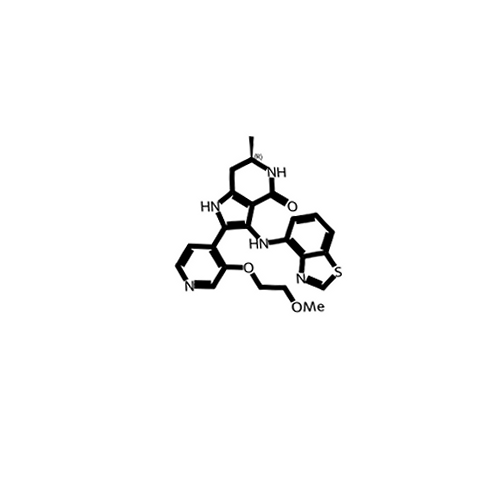 COCCOc1cnccc1-c1[nH]c2c(c1Nc1cccc3scnc13)C(=O)N[C@H](C)C2